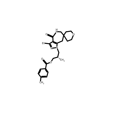 CCc1nn(C[C@H](C)COC(=O)c2ccc(C)cc2)c2c1C(=O)NCC1(CCOCC1)C2